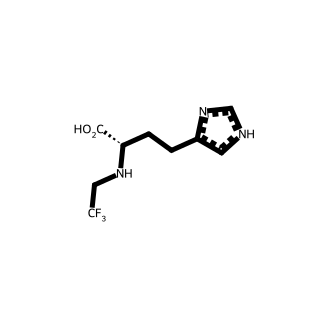 O=C(O)[C@H](CCc1c[nH]cn1)NCC(F)(F)F